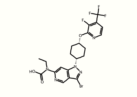 CCN(C(=O)O)c1cc2c(cn1)c(Br)nn2[C@H]1CC[C@@H](Oc2nccc(C(F)(F)F)c2F)CC1